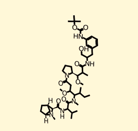 CCC(C)C(C(CC(=O)N1CCC[C@H]1C(OC)C(C)C(=O)NC(CO)Cc1cccc(NC(=O)OC(C)(C)C)c1)OC)N(C)C(=O)C(NC(=O)[C@@H]1[C@H]2CC[C@H](C2)N1C)C(C)C